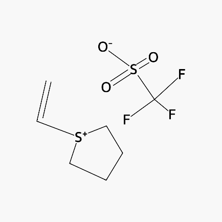 C=C[S+]1CCCC1.O=S(=O)([O-])C(F)(F)F